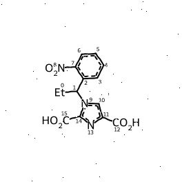 CCC(c1ccccc1[N+](=O)[O-])n1cc(C(=O)O)nc1C(=O)O